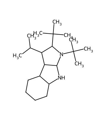 CC(C)C1C2C3CCCCC3NC2N(C(C)(C)C)C1C(C)(C)C